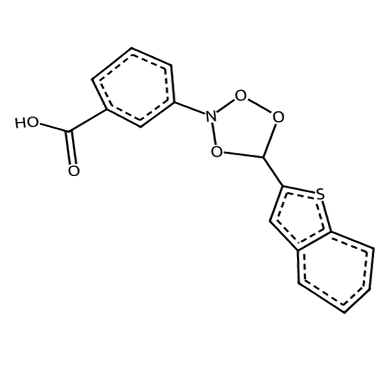 O=C(O)c1cccc(N2OOC(c3cc4ccccc4s3)O2)c1